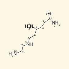 CCC(N)CCC(N)CCNCCN